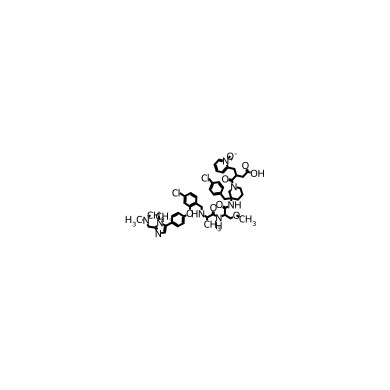 COCC(NC(=O)C(C)NCc1ccc(Cl)cc1Oc1ccc(-c2cnc(CN(C)C)n2C)cc1)C(=O)NC1(Cc2ccc(Cl)cc2)CCCN(C(=O)C(CC(=O)O)Cc2cccc[n+]2[O-])C1